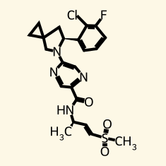 C[C@H](/C=C/S(C)(=O)=O)NC(=O)c1cnc(N2CC3(CC3)C[C@H]2c2cccc(F)c2Cl)cn1